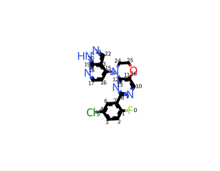 Fc1ccc(Cl)cc1-c1ncc2c(n1)N(c1ccnc3[nH]ncc13)CCO2